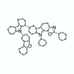 c1ccc(-c2nc3ccc4c5cc(-c6cccc7c8ccccc8n(-c8ccc9oc%10ccccc%10c9c8)c67)ccc5n(-c5ccccc5)c4c3o2)cc1